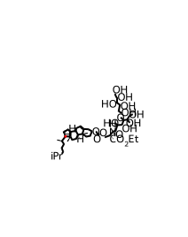 CCOC(=O)[C@H](COC(=O)OC1CC[C@@]2(C)C(=CC[C@H]3[C@@H]4CC[C@H]([C@H](C)CCCC(C)C)[C@@]4(C)CC[C@@H]32)C1)NC(=O)C(O)C(O)C(O[C@H](O)CC(O)[C@@H](O)C(O)CO)C(O)CO